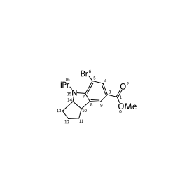 COC(=O)c1cc(Br)c2c(c1)C1CCCC1N2C(C)C